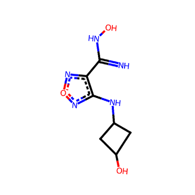 N=C(NO)c1nonc1NC1CC(O)C1